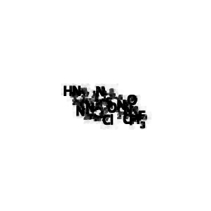 Cc1cc(=O)n(Cc2cc3nccc(-c4cc(Cl)cc5ccn(CC6(C#N)CCNCC6)c45)c3s2)c(=O)n1CC(F)F